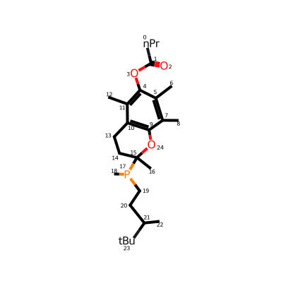 CCCC(=O)Oc1c(C)c(C)c2c(c1C)CCC(C)(P(C)CCC(C)C(C)(C)C)O2